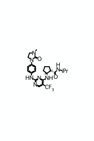 CC(C)NC(=O)[C@H]1CCC[C@H]1Nc1nc(Nc2ccc(N3CCN(C)C3=O)cc2)ncc1C(F)(F)F